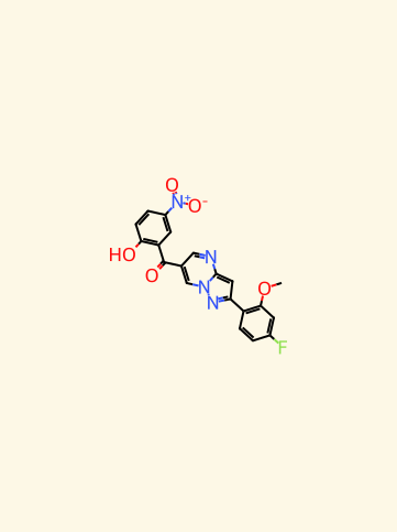 COc1cc(F)ccc1-c1cc2ncc(C(=O)c3cc([N+](=O)[O-])ccc3O)cn2n1